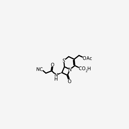 CC(=O)OCC1=C(C(=O)O)N2C(=O)[C@@H](NC(=O)CC#N)C2SC1